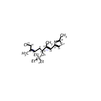 CC[Si](CC)(CC)O[C@@H](C/C=C(/C)CCl)/C(C)=C/c1csc(C)n1